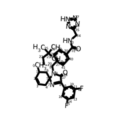 CC1C=CCC2(C1)N=C(c1cc(F)cc(F)c1)C(=O)N2[C@H](CCC(C)(C)C)c1ccc(C(=O)NCc2nn[nH]n2)cc1